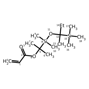 C=CC(=O)OC(C)(C)[Si](C)(C)OC(C)(CC)[Si](C)(C)C